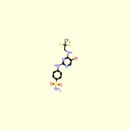 NS(=O)(=O)c1ccc(Nc2ncc(Br)c(NCC(F)(F)C(F)(F)F)n2)cc1